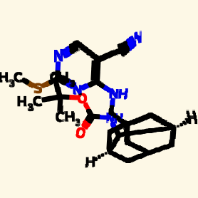 CSc1ncc(C#N)c(NCC23CC4C[C@H](C2)C(NC(=O)OC(C)(C)C)[C@@H](C4)C3)n1